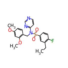 CCc1cc(S(=O)(=O)N(Cc2ccc(OC)cc2OC)c2ccncn2)ccc1F